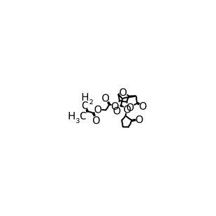 C=C(C)C(=O)OCC(=O)OC1C2OC(=O)C3C2OC1C3C(=O)OC1CCCC1=O